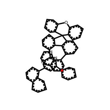 c1ccc(-c2cc(-c3cccc4ccccc34)nc(-c3cccc4c3-c3c(-c5cccc6cccnc56)cccc3C43c4ccccc4Oc4ccccc43)n2)cc1